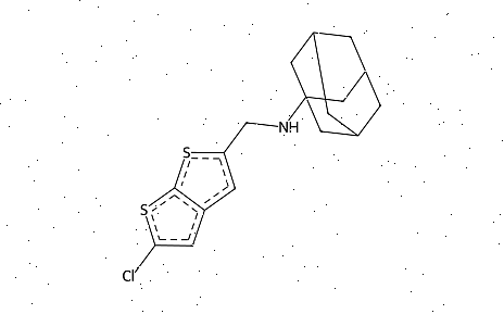 Clc1cc2cc(CNC34CC5CC(CC(C5)C3)C4)sc2s1